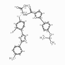 Cc1ccc(-c2nc(-c3ccc(C[C@@H](NC(=O)c4ccc(-c5ccc(OC(C)C)cc5)o4)C(=O)O)cc3F)no2)cc1